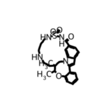 CC1Oc2ccccc2-c2cc3ccc4cc3n2CC1(C)CCNCCCNS(=O)(=O)NC4=O